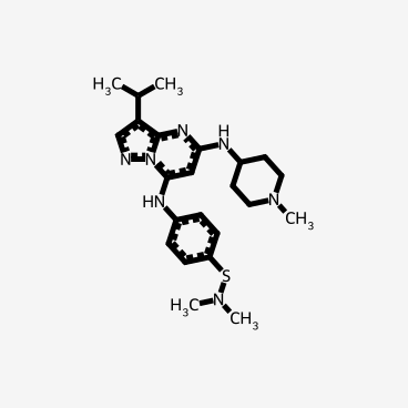 CC(C)c1cnn2c(Nc3ccc(SN(C)C)cc3)cc(NC3CCN(C)CC3)nc12